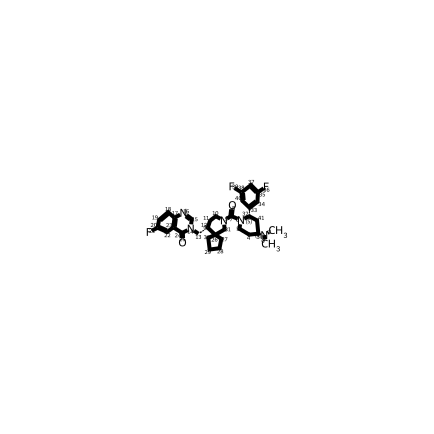 CN(C)[C@@H]1CCN(C(=O)N2CC[C@@H](Cn3cnc4ccc(F)cc4c3=O)C3(CCCC3)C2)[C@H](c2cc(F)cc(F)c2)C1